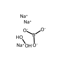 OO.[Na+].[Na+].[Na+].[O-]B([O-])[O-]